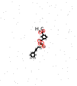 COC(=O)c1cccc(C(=O)OS(=O)(=O)CCC#Cc2ccccc2)c1